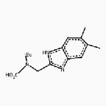 Cc1cc2nc(CN(C(=O)O)C(C)(C)C)[nH]c2cc1C